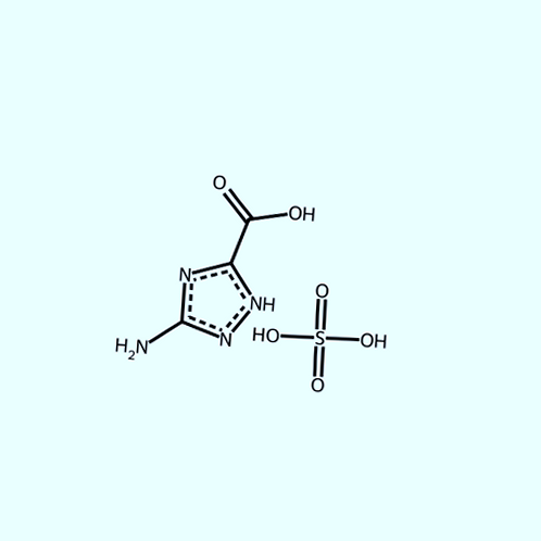 Nc1n[nH]c(C(=O)O)n1.O=S(=O)(O)O